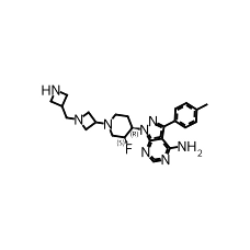 Cc1ccc(-c2nn([C@@H]3CCN(C4CN(CC5CNC5)C4)C[C@@H]3F)c3ncnc(N)c23)cc1